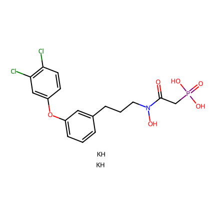 O=C(CP(=O)(O)O)N(O)CCCc1cccc(Oc2ccc(Cl)c(Cl)c2)c1.[KH].[KH]